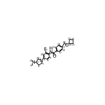 CN(C)C1CCN(c2ccc(NC(=O)c3ccc(COC4CCC4)cc3)c(F)c2)C1